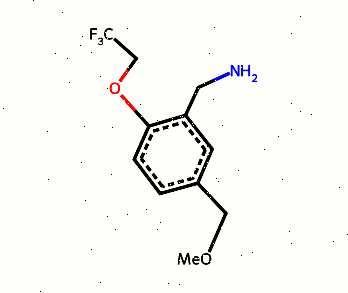 COCc1ccc(OCC(F)(F)F)c(CN)c1